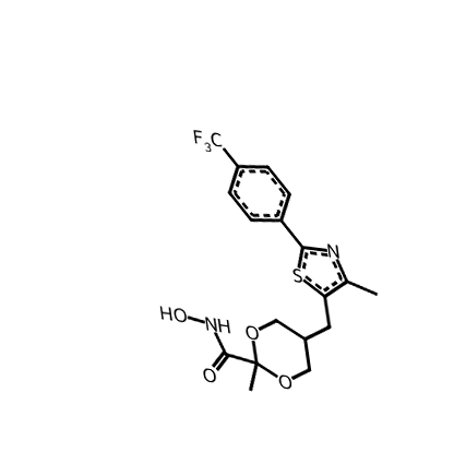 Cc1nc(-c2ccc(C(F)(F)F)cc2)sc1CC1COC(C)(C(=O)NO)OC1